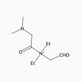 CC[N+](CC)(C[C]=O)C(=O)CN(C)C